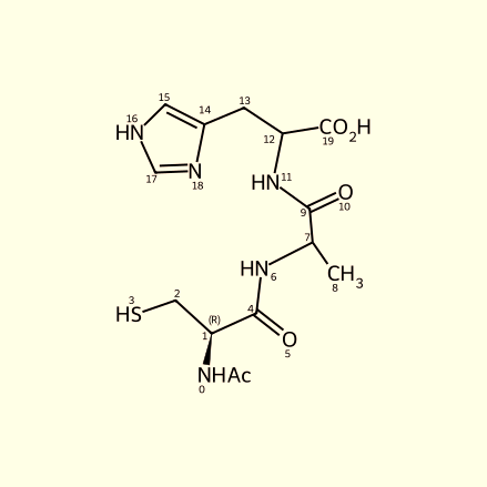 CC(=O)N[C@@H](CS)C(=O)NC(C)C(=O)NC(Cc1c[nH]cn1)C(=O)O